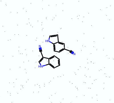 N#Cc1c[nH]c2ccccc12.N#Cc1ccc2[nH]ccc2c1